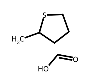 CC1CCCS1.O=CO